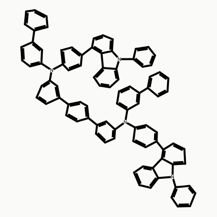 c1ccc(-c2cccc(N(c3ccc(-c4cccc5c4c4ccccc4n5-c4ccccc4)cc3)c3cccc(-c4ccc(-c5cccc(N(c6ccc(-c7cccc8c7c7ccccc7n8-c7ccccc7)cc6)c6cccc(-c7ccccc7)c6)c5)cc4)c3)c2)cc1